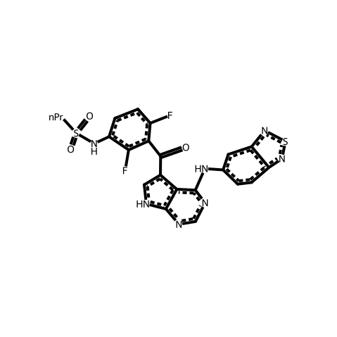 CCCS(=O)(=O)Nc1ccc(F)c(C(=O)c2c[nH]c3ncnc(Nc4ccc5nsnc5c4)c23)c1F